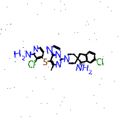 Cc1nc(N2CCC3(CC2)Cc2ccc(Cl)cc2[C@H]3N)n2ccnc2c1Sc1ccnc(N)c1Cl